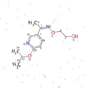 C/C(=N/OCCO)c1ccc(OC(C)C)nc1